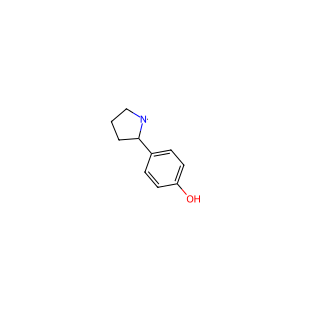 Oc1ccc(C2CCC[N]2)cc1